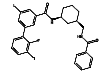 O=C(NC[C@@H]1CCC[C@H](NC(=O)c2cc(I)cc(-c3cccc(I)c3F)c2)C1)c1ccccc1